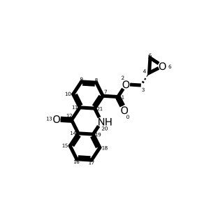 O=C(OC[C@@H]1CO1)c1cccc2c(=O)c3ccccc3[nH]c12